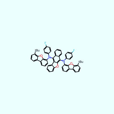 CC(C)(C)c1cccc2c1oc1c(N(c3ccc(F)cc3)c3c4ccccc4c(N(c4ccc(F)cc4)c4cccc5c4oc4c(C(C)(C)C)cccc45)c4c3oc3ccccc34)cccc12